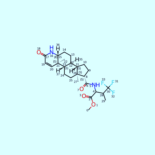 COC(=O)C(NC(=O)[C@H]1CC[C@H]2[C@@H]3CC[C@H]4NC(=O)C=C[C@]4(C)[C@H]3CC[C@]12C)C(C)C(F)(F)F